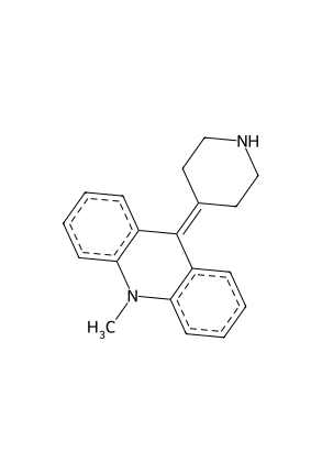 CN1c2ccccc2C(=C2CCNCC2)c2ccccc21